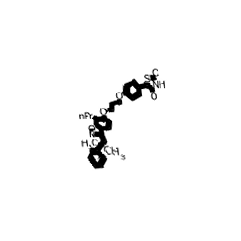 CCCc1c(OCCCOc2ccc(C3SC(=O)NC3=O)cc2)ccc2c(CC(C)(C)c3ccccc3)noc12